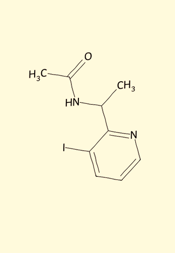 CC(=O)NC(C)c1ncccc1I